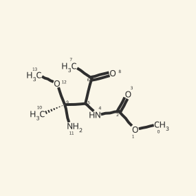 COC(=O)NC(C(C)=O)[C@@](C)(N)OC